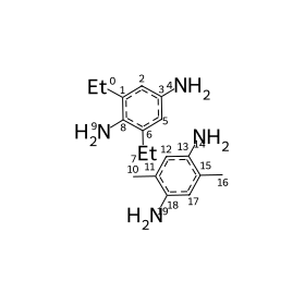 CCc1cc(N)cc(CC)c1N.Cc1cc(N)c(C)cc1N